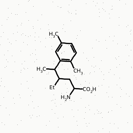 CCC(CC(N)C(=O)O)C(C)c1cc(C)ccc1C